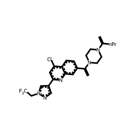 C=C(CCC)N1CCN(C(=C)c2ccc3c(Cl)cc(-c4cnn(CC(F)(F)F)c4)nc3c2)CC1